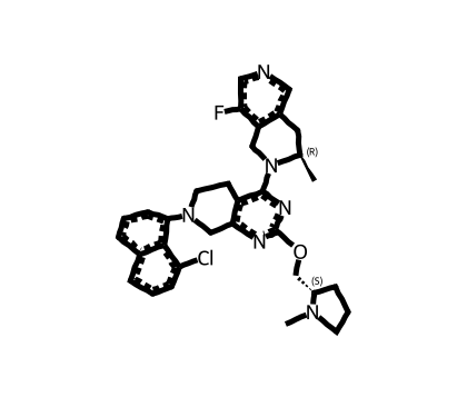 C[C@@H]1Cc2cncc(F)c2CN1c1nc(OC[C@@H]2CCCN2C)nc2c1CCN(c1cccc3cccc(Cl)c13)C2